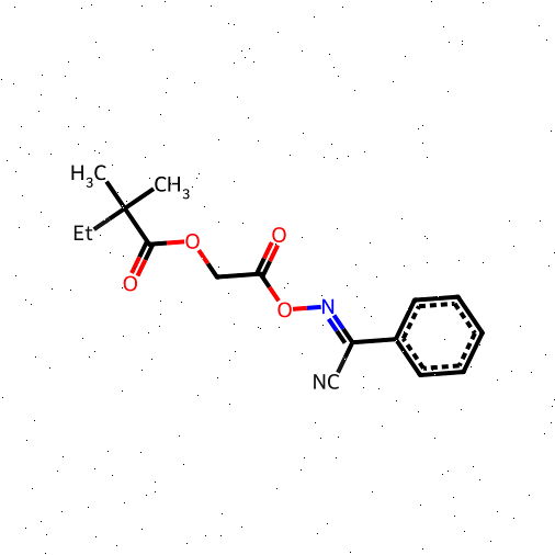 CCC(C)(C)C(=O)OCC(=O)O/N=C(\C#N)c1ccccc1